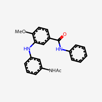 COc1ccc(C(=O)Nc2ccccc2)cc1Nc1cccc(NC(C)=O)c1